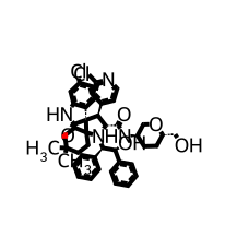 CC1(C)CCC2(CC1)N([C@H](c1ccccc1)[C@@H](O)c1ccccc1)[C@@H](C(=O)N[C@@H]1CC[C@@H](CO)OC1)[C@H](c1ccnc(Cl)c1)[C@]21C(=O)Nc2cc(Cl)ccc21